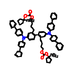 CCCCC1(OC(=O)OCCCCc2cc(N(c3ccc(-c4ccccc4)cc3)c3ccc(-c4ccccc4)cc3)ccc2-c2ccc(N(c3ccc(-c4ccccc4)cc3)c3ccc(-c4ccccc4)cc3)cc2CCCCOC(=O)OC2(CCCC)CCCC2)CCCC1